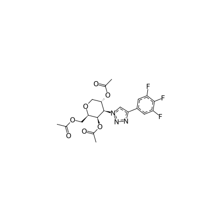 CC(=O)OC[C@H]1OC[C@H](OC(C)=O)[C@@H](n2cc(-c3cc(F)c(F)c(F)c3)nn2)[C@H]1OC(C)=O